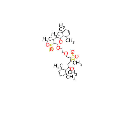 CC1C=CCC(C)(C)C1C(=O)CC(C)C(COCCOCC(C(C)CC(=O)C1C(C)C=CCC1(C)C)[SH](=O)=O)[SH](=O)=O